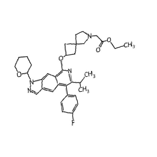 CCOC(=O)CN1CCC2(CC(Oc3nc(C(C)C)c(-c4ccc(F)cc4)c4cc5cnn(C6CCCCO6)c5cc34)C2)C1